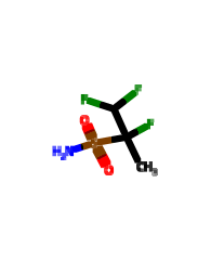 CC(F)(C(F)F)S(N)(=O)=O